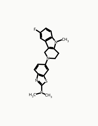 CN(C)c1nc2ccc(N3CCc4c(c5cc(F)ccc5n4C)C3)cc2s1